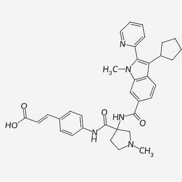 CN1CCC(NC(=O)c2ccc3c(C4CCCC4)c(-c4ccccn4)n(C)c3c2)(C(=O)Nc2ccc(C=CC(=O)O)cc2)C1